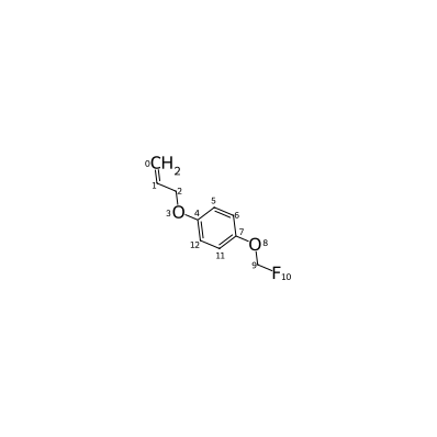 C=CCOc1ccc(OCF)cc1